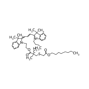 CCCCCCCCOC(=O)CSCC(C)(C)C(=O)OCCN1C(=CC=CC2=[N+](CCCC)c3ccccc3C2(C)C)C(C)(C)c2ccccc21